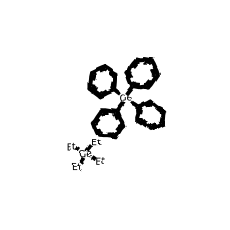 C[CH2][Ge]([CH2]C)([CH2]C)[CH2]C.c1cc[c]([Ge]([c]2ccccc2)([c]2ccccc2)[c]2ccccc2)cc1